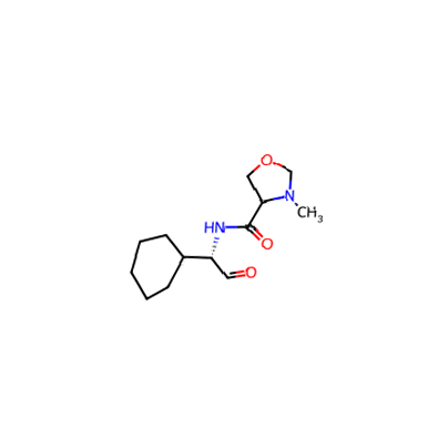 CN1COCC1C(=O)N[C@H](C=O)C1CCCCC1